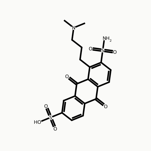 CN(C)CCCc1c(S(N)(=O)=O)ccc2c1C(=O)c1cc(S(=O)(=O)O)ccc1C2=O